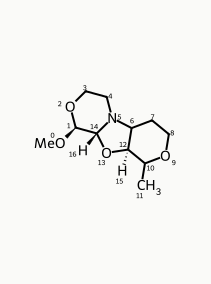 CO[C@H]1OCCN2C3CCOC(C)[C@H]3O[C@H]12